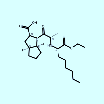 CCCCCC[C@H](N[C@@H](C)C(=O)N1[C@H](C(=O)O)C[C@@H]2CCC[C@@H]21)C(=O)OCC